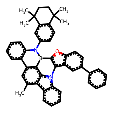 Cc1cc2c3c4c1c1ccccc1n4-c1c(oc4ccc(-c5ccccc5)cc14)B3N(c1ccc3c(c1)C(C)(C)CCC3(C)C)c1ccccc1-2